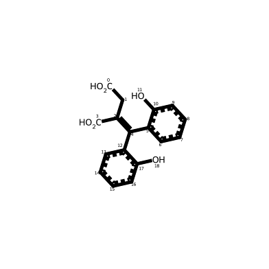 O=C(O)CC(C(=O)O)=C(c1ccccc1O)c1ccccc1O